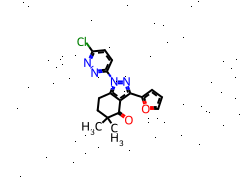 CC1(C)CCc2c(c(-c3ccco3)nn2-c2ccc(Cl)nn2)C1=O